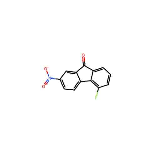 O=C1c2cc([N+](=O)[O-])ccc2-c2c(F)cccc21